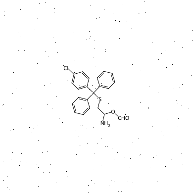 NC(CSC(c1ccccc1)(c1ccccc1)c1ccc(Cl)cc1)OC=O